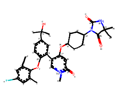 Cc1cc(F)cc(C)c1Oc1ccc(C(C)(C)O)cc1-c1cn(C)c(=O)cc1OC1CCC(N2C(=O)NC(C)(C)C2=O)CC1